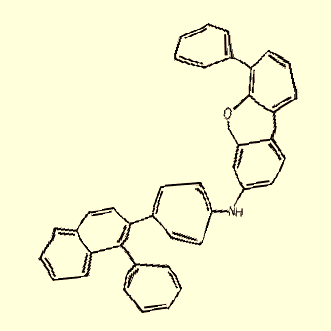 c1ccc(-c2c(-c3ccc(Nc4ccc5c(c4)oc4c(-c6ccccc6)cccc45)cc3)ccc3ccccc23)cc1